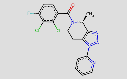 C[C@H]1c2nnn(-c3ccccn3)c2CCN1C(=O)c1ccc(F)c(Cl)c1Cl